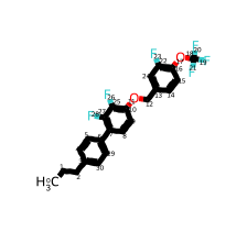 CCCc1ccc(-c2ccc(OCc3ccc(OC(F)(F)F)c(F)c3)c(F)c2F)cc1